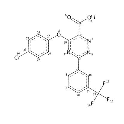 O=C(O)c1nnc(-c2cccc(C(F)(F)F)c2)nc1Oc1ccc(Cl)cc1